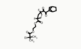 CCC(C)(C)C(=O)OCCOC(=O)C(F)(F)CC(F)(F)C(=O)C(=O)C1CC2CCC1C2